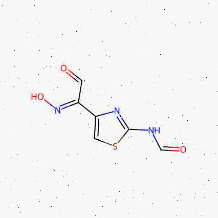 O=[C]C(=NO)c1csc(NC=O)n1